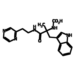 CC(Cc1c[nH]c2ccccc12)(NC(=O)O)C(=O)NCCc1cnccn1